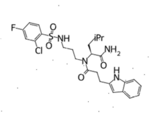 CC(C)C[C@@H](C(N)=O)N(CCCNS(=O)(=O)c1ccc(F)cc1Cl)C(=O)CCc1cc2ccccc2[nH]1